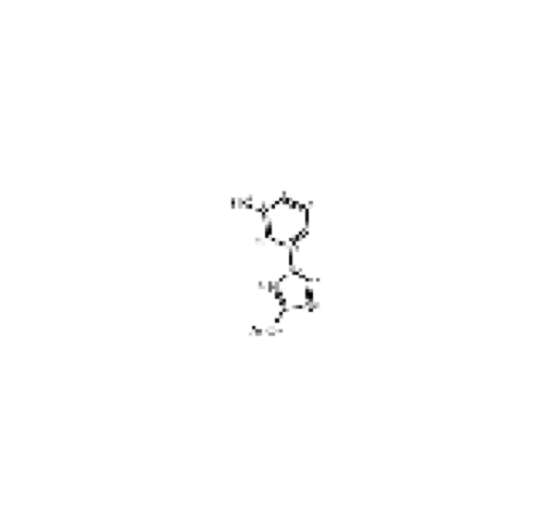 CC(=O)Oc1ncn(-c2cccc(Cl)c2)n1